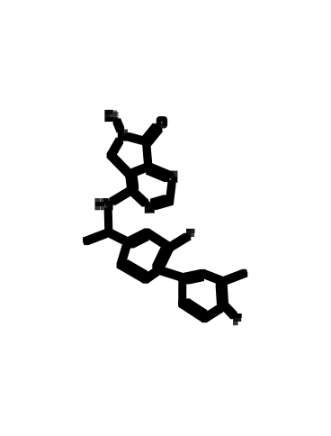 CCN1Cc2c(NC(C)c3ccc(-c4ccc(F)c(C)c4)c(F)c3)ncnc2C1=O